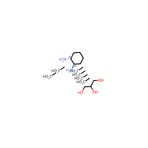 CC(=O)O.CC(=O)O.CC(=O)O.CC(=O)O.CC(=O)O.CC(=O)O.N[C@@H]1CCCC[C@H]1N.OCC(O)CO